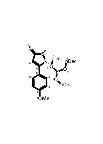 CCCCCCCCCCOP(OCCCCCCCCCC)OCCCCCCCCCC.COc1ccc(-c2cc(=S)ss2)cc1